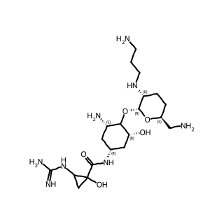 N=C(N)NC1CC1(O)C(=O)N[C@H]1C[C@@H](O)C(O[C@H]2O[C@H](CN)CC[C@H]2NCCCN)[C@@H](N)C1